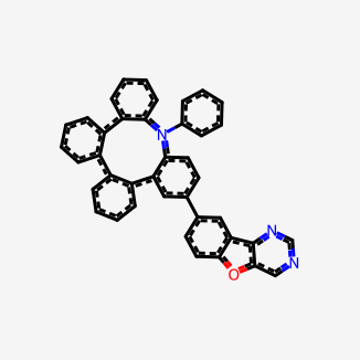 c1ccc(-n2c3ccccc3c3ccccc3c3ccccc3c3cc(-c4ccc5oc6cncnc6c5c4)ccc32)cc1